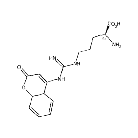 N=C(NCCC[C@H](N)C(=O)O)NC1=CC(=O)OC2C=CC=CC12